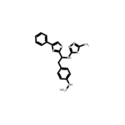 Cc1nnc(NC(Cc2ccc(NS(=O)(=O)O)cc2)c2nc(-c3ccccc3)cs2)s1